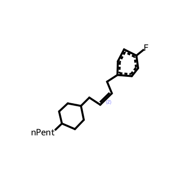 CCCCCC1CCC(C/C=C\Cc2ccc(F)cc2)CC1